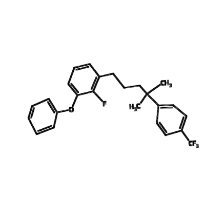 CC(C)(CCCc1cccc(Oc2ccccc2)c1F)c1ccc(C(F)(F)F)cc1